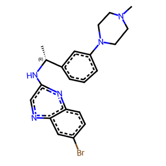 C[C@@H](Nc1cnc2cc(Br)ccc2n1)c1cccc(N2CCN(C)CC2)c1